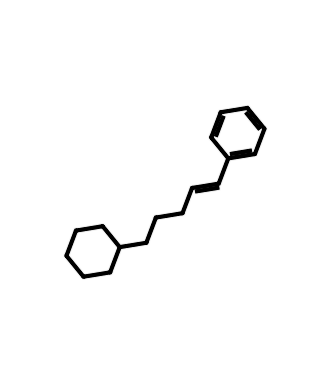 C(=Cc1ccccc1)CCCC1CCCCC1